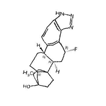 C[C@]12CC[C@@H]3c4ccc5[nH]nnc5c4[C@H](F)C[C@H]3C13CCC2(O)CC3